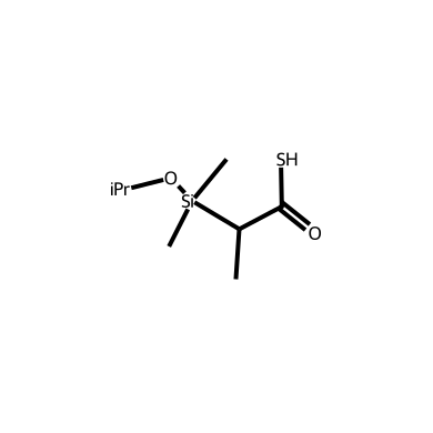 CC(C)O[Si](C)(C)C(C)C(=O)S